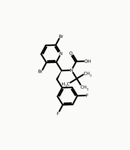 CC(C)(C)N(C(=O)O)[C@@H](Cc1cc(F)cc(F)c1)c1nc(Br)ccc1Br